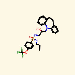 CCCN=[S@](=O)(NC[C@@H](O)CN1c2ccccc2CCc2ccccc21)c1ccc(OC(F)(F)F)cc1